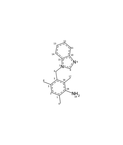 Cc1cc(C)c(Cn2cnc3ccccc32)c(C)c1N